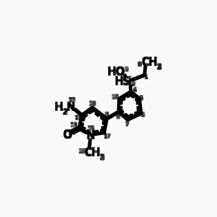 CC[SiH](O)c1cccc(-c2cc(N)c(=O)n(C)c2)c1